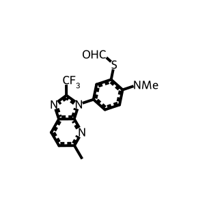 CNc1ccc(-n2c(C(F)(F)F)nc3ccc(C)nc32)cc1SC=O